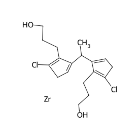 CC(C1=CCC(Cl)=C1CCCO)C1=CCC(Cl)=C1CCCO.[Zr]